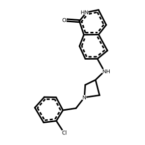 O=c1[nH]ccc2cc(NC3CN(Cc4ccccc4Cl)C3)ccc12